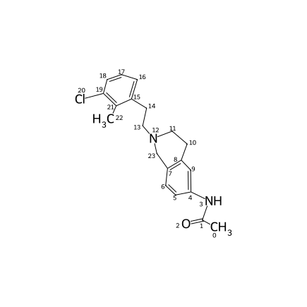 CC(=O)Nc1ccc2c(c1)CCN(CCc1cccc(Cl)c1C)C2